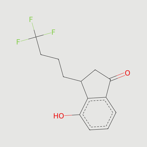 O=C1CC(CCCC(F)(F)F)c2c(O)cccc21